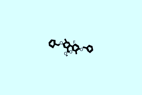 COC(=O)c1cc(OCc2ccccc2)c(C)cc1-c1cc(C)c(OCc2ccccc2)cc1F